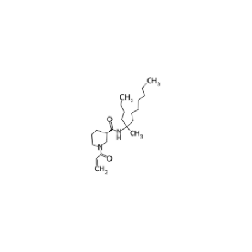 C=CC(=O)N1CCC[C@@H](C(=O)NC(C)(CCCC)CCCCCCC)C1